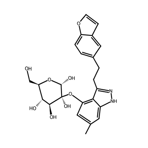 Cc1cc(O[C@]2(O)[C@@H](O)O[C@H](CO)[C@@H](O)[C@@H]2O)c2c(CCc3ccc4occc4c3)n[nH]c2c1